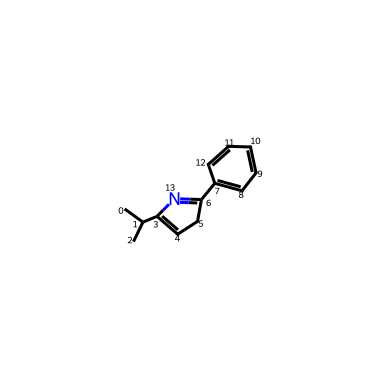 CC(C)C1=CCC(c2ccccc2)=N1